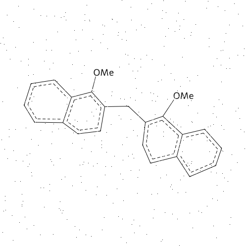 COc1c(Cc2ccc3ccccc3c2OC)ccc2ccccc12